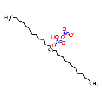 CCCCCCCCCCC[CH2][Sn][CH2]CCCCCCCCCCC.O=[N+]([O-])O.O=[N+]([O-])[O-]